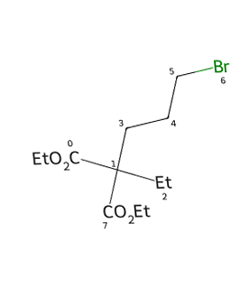 CCOC(=O)C(CC)(CCCBr)C(=O)OCC